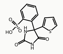 O=C1NC(=O)C(c2cccs2)(c2ccccc2S(=O)(=O)O)N1